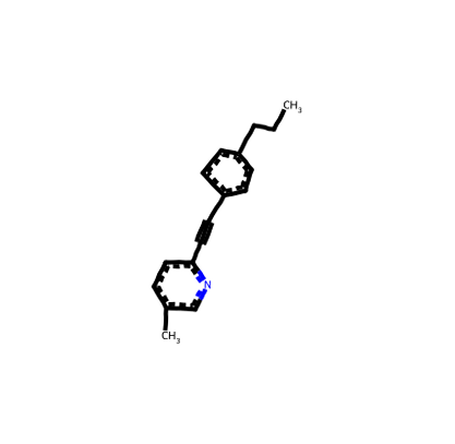 CCCc1ccc(C#Cc2ccc(C)cn2)cc1